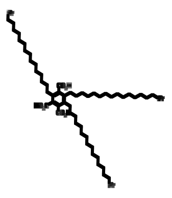 CC(C)CCCCCCCCCCCCCCCc1c(CCCCCCCCCCCCCCCC(C)C)c(C(=O)O)c(C(=O)O)c(CCCCCCCCCCCCCCCC(C)C)c1C(=O)O